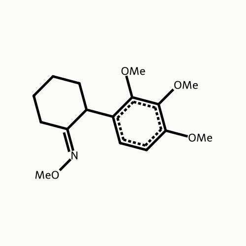 CO/N=C1\CCCCC1c1ccc(OC)c(OC)c1OC